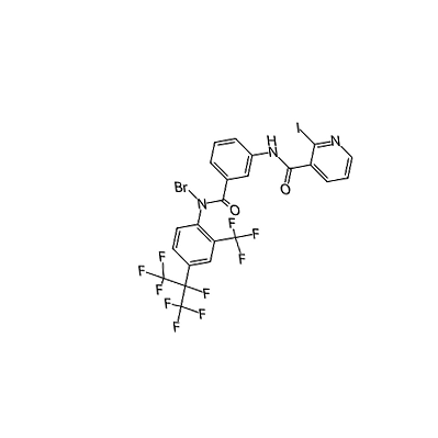 O=C(Nc1cccc(C(=O)N(Br)c2ccc(C(F)(C(F)(F)F)C(F)(F)F)cc2C(F)(F)F)c1)c1cccnc1I